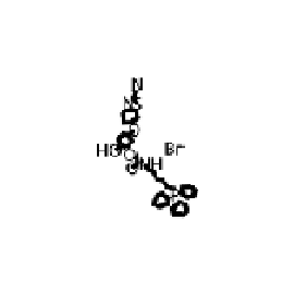 N#Cc1nc2ccc(Oc3ccc(O)c(OCC(=O)NCCCCCC[P+](c4ccccc4)(c4ccccc4)c4ccccc4)c3)cc2s1.[Br-]